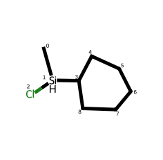 C[SiH](Cl)C1CCCCC1